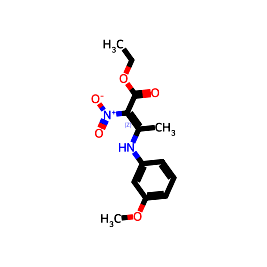 CCOC(=O)/C(=C(\C)Nc1cccc(OC)c1)[N+](=O)[O-]